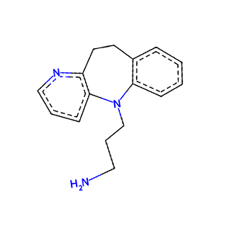 NCCCN1c2ccccc2CCc2ncccc21